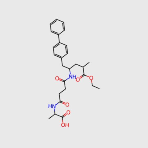 CCOC(=O)C(C)CC(Cc1ccc(-c2ccccc2)cc1)NC(=O)CCC(=O)NC(C)C(=O)O